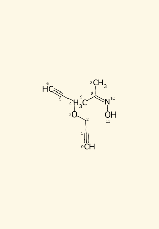 C#CCOCC#C.CC(C)=NO